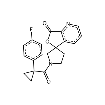 O=C1OC2(CCN(C(=O)C3(c4ccc(F)cc4)CC3)C2)c2cccnc21